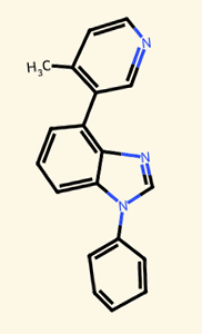 Cc1ccncc1-c1cccc2c1ncn2-c1ccccc1